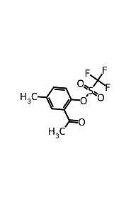 CC(=O)c1cc(C)ccc1OS(=O)(=O)C(F)(F)F